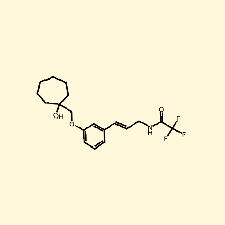 O=C(NC/C=C/c1cccc(OCC2(O)CCCCCC2)c1)C(F)(F)F